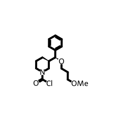 COCCCO[C@@H](c1ccccc1)[C@@H]1CCCN(C(=O)Cl)C1